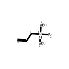 C=CC[PH](Br)(CCCC)CCCC